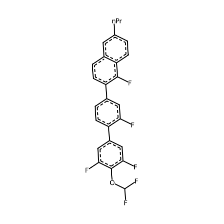 CCCc1ccc2c(F)c(-c3ccc(-c4cc(F)c(OC(F)F)c(F)c4)c(F)c3)ccc2c1